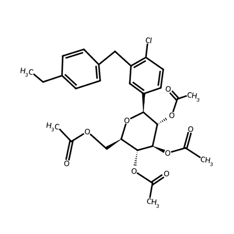 CCc1ccc(Cc2cc([C@@H]3O[C@H](COC(C)=O)[C@@H](OC(C)=O)[C@H](OC(C)=O)[C@H]3OC(C)=O)ccc2Cl)cc1